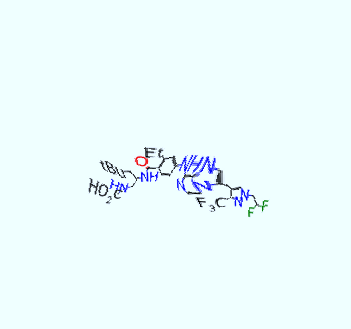 CCc1cc(Nc2nccn3c(-c4cn(CC(F)F)nc4C(F)(F)F)cnc23)ccc1C(=O)NC(CNC(=O)O)CC(C)(C)C